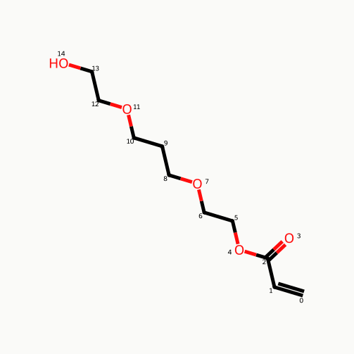 C=CC(=O)OCCOCCCOCCO